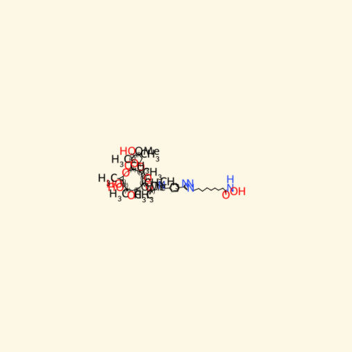 CO[C@]1(C)CC(O[C@@H]2[C@H](C)[C@@H](OC3C[C@@H](N(C)Cc4ccc(-c5cn(CCCCCCCCC(=O)NO)nn5)cc4)C[C@@H](C)O3)[C@@](C)(OC)C[C@@H](C)C(=O)[C@H](C)[C@@H](O)[C@@]3(O)C(C)C3OC(=O)[C@@H]2C)O[C@@H](C)[C@@H]1O